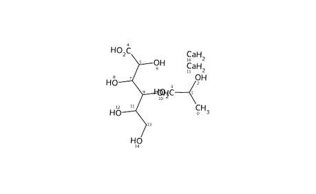 CC(O)C(=O)O.O=C(O)C(O)C(O)C(O)C(O)CO.[CaH2].[CaH2]